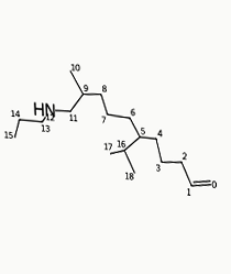 C=CCCCC(CCCC(C)CNCCC)C(C)C